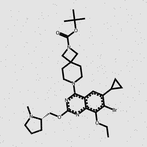 CCOc1c(Br)c(C2CC2)cc2c(N3CCC4(CC3)CN(C(=O)OC(C)(C)C)C4)nc(OC[C@@H]3CCCN3C)nc12